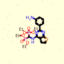 CCOP(=O)(OCC)C(Nc1nc(-c2cccc(N)c2)nc2sccc12)P(=O)(OCC)OCC